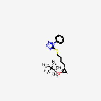 CC(C)(C)[Si](C)(C)O[C@@H]1C[C@H]1CCCCSc1nnnn1-c1ccccc1